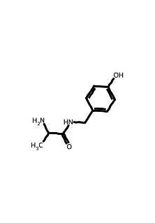 CC(N)C(=O)NCc1ccc(O)cc1